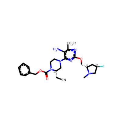 CCOC(=O)c1nc(OC[C@@H]2C[C@@H](F)CN2C)nc(N2CCN(C(=O)OCc3ccccc3)[C@@H](CC#N)C2)c1N